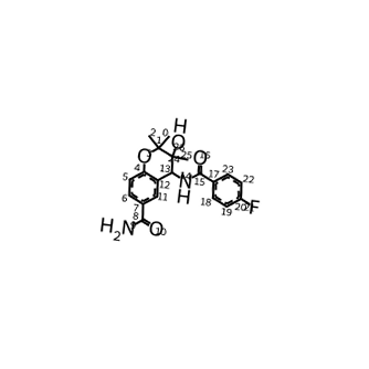 CC1(C)Oc2ccc(C(N)=O)cc2C(NC(=O)c2ccc(F)cc2)C1(C)O